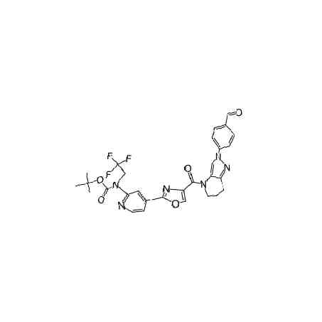 CC(C)(C)OC(=O)N(CC(F)(F)F)c1cc(-c2nc(C(=O)N3CCCc4nn(-c5ccc(C=O)cc5)cc43)co2)ccn1